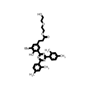 Cc1ccc(-c2nc(-c3ccc(C)cc3C)nc(-c3cc(CCC(=O)OCCOCCO)cc(C(C)(C)C)c3O)n2)c(C)c1